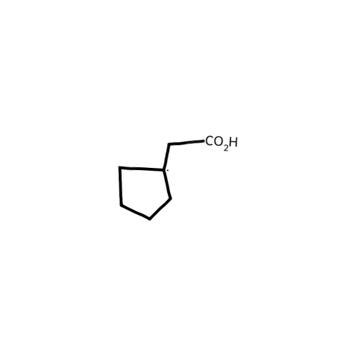 O=C(O)C[C]1CCCC1